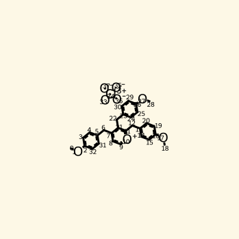 COc1ccc(Cc2cc[o+]c(Cc3ccc(OC)cc3)c2Cc2ccc(OC)cc2)cc1.[O-][Cl+3]([O-])([O-])[O-]